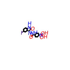 O=C1Nc2ccc(I)cc2/C1=N/NC(=O)c1ccc(N(O)O)cc1